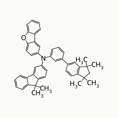 CC1(C)CC(C)(C)c2cc(-c3cccc(N(c4ccc5c(c4)-c4ccccc4C5(C)C)c4ccc5oc6ccccc6c5c4)c3)ccc21